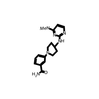 CNc1ccnc(NC2CCN(c3cccc(C(N)=O)c3)CC2)n1